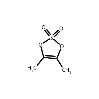 CC1=C(C)OS(=O)(=O)O1